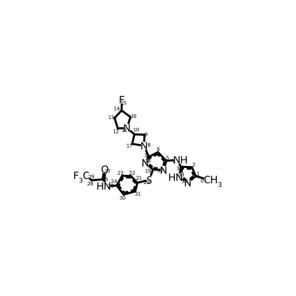 Cc1cc(Nc2cc(N3CC(N4CCC(F)C4)C3)nc(Sc3ccc(NC(=O)CC(F)(F)F)cc3)n2)[nH]n1